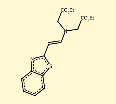 CCOC(=O)CN(C=Cc1nc2ccccc2s1)CC(=O)OCC